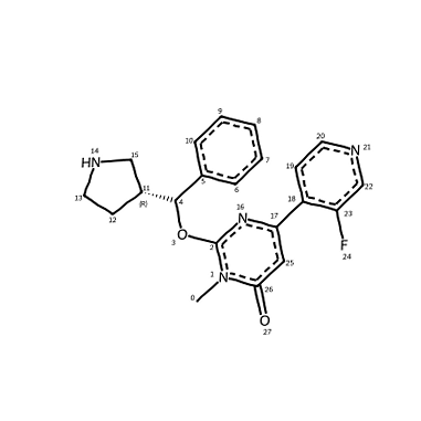 Cn1c(OC(c2ccccc2)[C@@H]2CCNC2)nc(-c2ccncc2F)cc1=O